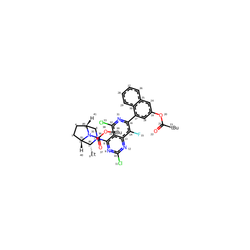 CC[C@@H]1[C@@H]2CC[C@H](CN1c1nc(Cl)nc3c(F)c(-c4cc(OC(=O)C(C)(C)C)cc5ccccc45)nc(Cl)c13)N2C(=O)OC(C)(C)C